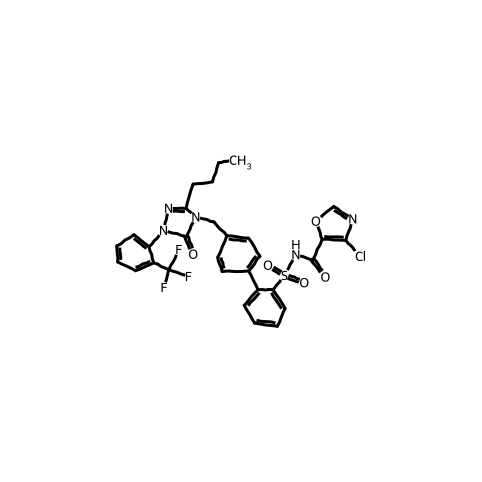 CCCCc1nn(-c2ccccc2C(F)(F)F)c(=O)n1Cc1ccc(-c2ccccc2S(=O)(=O)NC(=O)c2ocnc2Cl)cc1